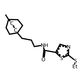 CCSc1ncc(C(=O)NCCCC23CCC(C)(CC2)CC3)s1